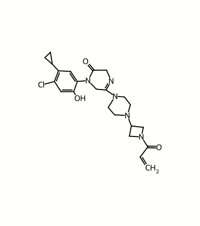 C=CC(=O)N1CC(N2CCN(C3=NCC(=O)N(c4cc(C5CC5)c(Cl)cc4O)C3)CC2)C1